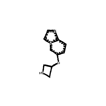 c1cn2cc(OC3CNC3)ccc2n1